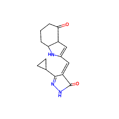 O=C1NN=C(C2CC2)/C1=C\C1=CC2C(=O)CCCC2N1